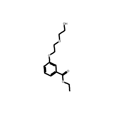 CCOC(=O)c1cccc(OCCOCCO)c1